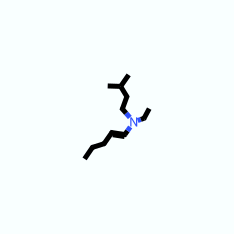 CCCC=CN(CC)CCC(C)C